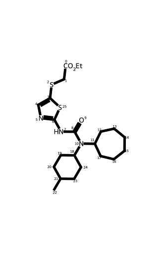 CCOC(=O)CSc1cnc(NC(=O)N(C2CCCCCC2)C2CCC(C)CC2)s1